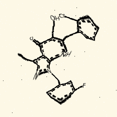 Cc1nn(-c2cccc(F)c2)c2[nH]c(-c3ccccc3Cl)c(O)c(=O)c12